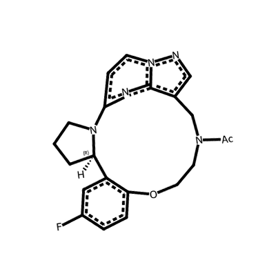 CC(=O)N1CCOc2ccc(F)cc2[C@H]2CCCN2c2ccn3ncc(c3n2)C1